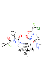 CC1(C)[C@@H]2[C@@H](C(=O)NN(C[C@@H]3CCNC3=O)C(=O)[C@@H](F)Cl)N(C(=O)[C@@H](NC(=O)C3(F)CC3)C3CCC3)C[C@@H]21